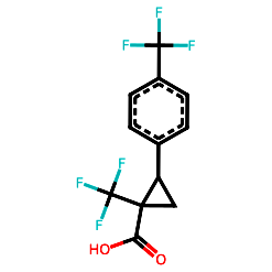 O=C(O)C1(C(F)(F)F)CC1c1ccc(C(F)(F)F)cc1